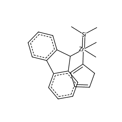 C[Si](C)=[Zr]([CH3])([CH3])([C]1=CC=CC1)[CH]1c2ccccc2-c2ccccc21